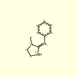 CN1CCNC1=Nc1c[c]ccc1